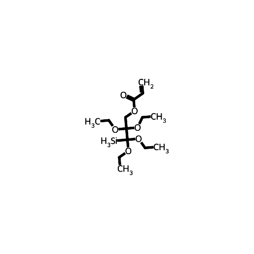 C=CC(=O)OCC(OCC)(OCC)C([SiH3])(OCC)OCC